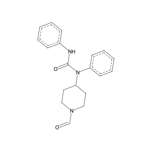 O=CN1CCC(N(C(=O)Nc2ccccc2)c2ccccc2)CC1